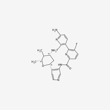 CC1[C@H](N)C[C@H](c2ccncc2NC(=O)c2ccc(F)c(-c3ccc(N)nc3F)n2)O[C@@H]1C